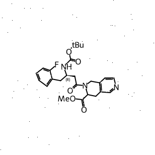 COC(=O)C1Cc2cnccc2CN1C(=O)C[C@@H](Cc1ccccc1F)NC(=O)OC(C)(C)C